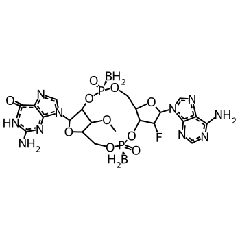 B[P@@]1(=O)OCC2OC(n3cnc4c(=O)[nH]c(N)nc43)C(O[P@](B)(=O)OCC3OC(n4cnc5c(N)ncnc54)C(F)C3O1)C2OC